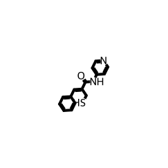 O=C(Nc1ccncc1)C(=Cc1ccccc1)CS